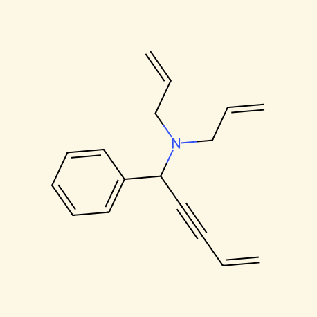 C=CC#CC(c1ccccc1)N(CC=C)CC=C